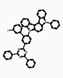 Fc1cccc(-c2cc(-c3nc(-c4ccccc4)nc(-c4ccccc4)n3)ccc2-n2c3ccccc3c3c4c5ccccc5n(-c5ccccc5)c4ccc32)c1